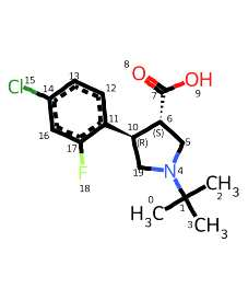 CC(C)(C)N1C[C@@H](C(=O)O)[C@H](c2ccc(Cl)cc2F)C1